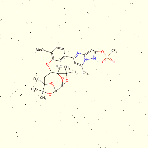 COc1ccc(-c2cc(C(F)(F)F)n3nc(OS(=O)(=O)C(F)(F)F)cc3n2)cc1OC1CC2(C)OB(OC2(C)C)B2OC(C)(C)C1(C)O2